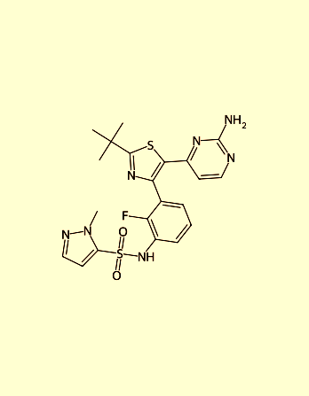 Cn1nccc1S(=O)(=O)Nc1cccc(-c2nc(C(C)(C)C)sc2-c2ccnc(N)n2)c1F